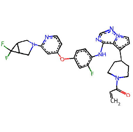 C=CC(=O)N1CCC(c2ccn3ncnc(Nc4ccc(Oc5ccnc(N6CC7C(C6)C7(F)F)c5)cc4F)c23)CC1